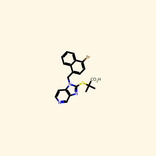 CC(C)(Sc1nc2cnccc2n1Cc1ccc(Br)c2ccccc12)C(=O)O